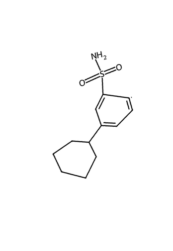 NS(=O)(=O)c1[c]ccc(C2CCCCC2)c1